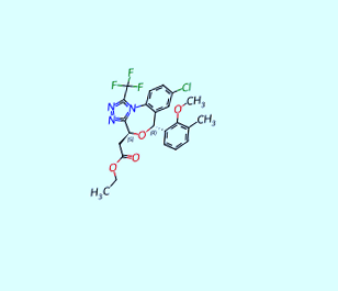 CCOC(=O)C[C@@H]1O[C@@H](c2cccc(C)c2OC)c2cc(Cl)ccc2-n2c1nnc2C(F)(F)F